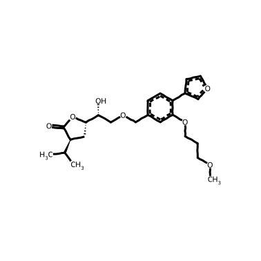 COCCCOc1cc(COC[C@@H](O)[C@@H]2C[C@@H](C(C)C)C(=O)O2)ccc1-c1ccoc1